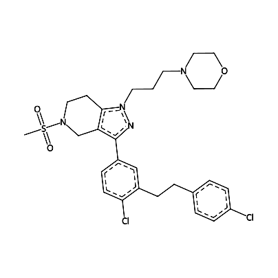 CS(=O)(=O)N1CCc2c(c(-c3ccc(Cl)c(CCc4ccc(Cl)cc4)c3)nn2CCCN2CCOCC2)C1